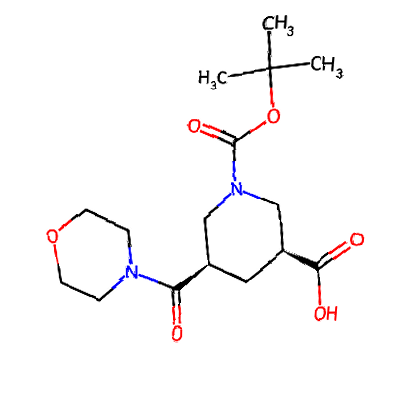 CC(C)(C)OC(=O)N1C[C@@H](C(=O)O)C[C@@H](C(=O)N2CCOCC2)C1